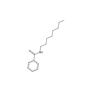 CCCCCCCCNC(=O)c1[c]cccc1